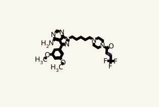 COC1=CC(OC)CC(c2nn(CCCCCN3CCN(C(=O)/C=C/C(F)(F)F)CC3)c3ncnc(N)c23)=C1